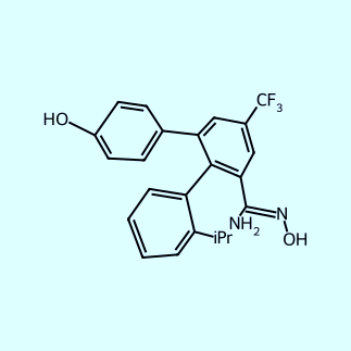 CC(C)c1ccccc1-c1c(/C(N)=N/O)cc(C(F)(F)F)cc1-c1ccc(O)cc1